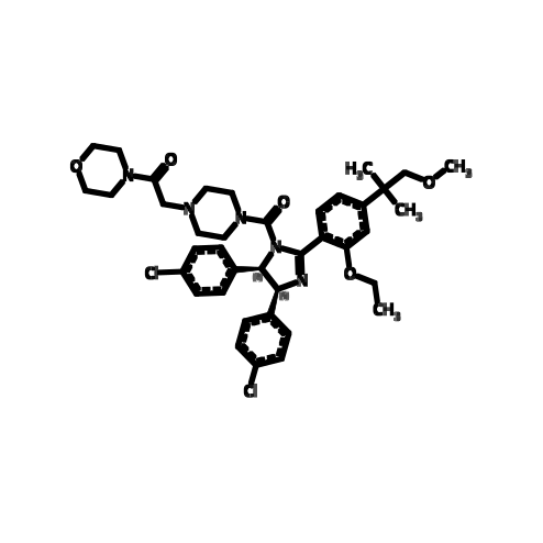 CCOc1cc(C(C)(C)COC)ccc1C1=N[C@@H](c2ccc(Cl)cc2)[C@@H](c2ccc(Cl)cc2)N1C(=O)N1CCN(CC(=O)N2CCOCC2)CC1